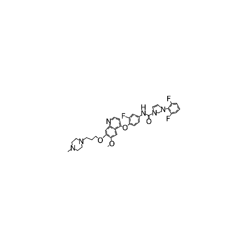 COc1cc2c(Oc3ccc(NC(=O)N4C=CN(c5c(F)cccc5F)C4)cc3F)ccnc2cc1OCCCN1CCN(C)CC1